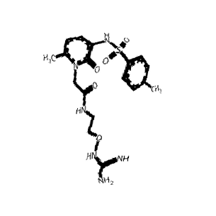 Cc1ccc(S(=O)(=O)Nc2ccc(C)n(CC(=O)NCCONC(=N)N)c2=O)cc1